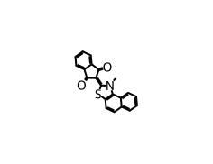 CN1C(=C2C(=O)c3ccccc3C2=O)Sc2ccc3ccccc3c21